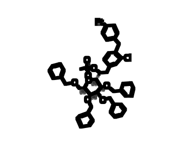 CCc1ccc(Cc2ccc(CC(OS(C)(=O)=O)[C@H]3O[C@H](COCc4ccccc4)[C@@H](OCc4ccccc4)[C@H](OCc4ccccc4)[C@H]3OCc3ccccc3)cc2Cl)cc1